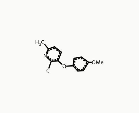 COc1ccc(Oc2ccc(C)nc2Cl)cc1